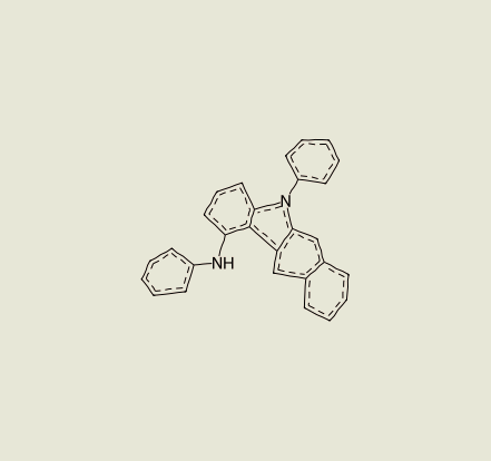 c1ccc(Nc2cccc3c2c2cc4ccccc4cc2n3-c2ccccc2)cc1